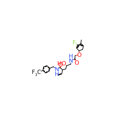 C=CC(CC(O)CNC(=O)COC1CC2=C(C)C(F)=C1CC2)C(=O)NCc1ccc(C(F)(F)F)cc1